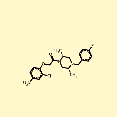 C[C@@H]1CN(Cc2ccc(F)cc2)[C@@H](C)CN1C(=O)COc1ccc([N+](=O)[O-])cc1Cl